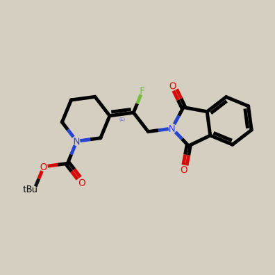 CC(C)(C)OC(=O)N1CCC/C(=C(\F)CN2C(=O)c3ccccc3C2=O)C1